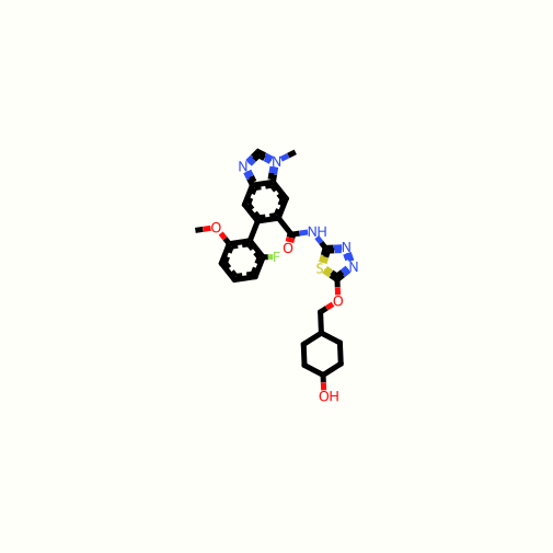 COc1cccc(F)c1-c1cc2ncn(C)c2cc1C(=O)Nc1nnc(OCC2CCC(O)CC2)s1